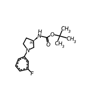 CC(C)(C)OC(=O)N[C@@H]1CCN(c2cccc(F)c2)C1